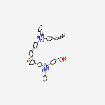 COc1ccc(-c2nc(-c3ccccc3)nc(-c3ccc(-c4ccc5oc6ccc(-c7ccc(-c8nc(-c9ccccc9)nc(-c9ccc(CO)cc9)n8)cc7)cc6c5c4)cc3)n2)cc1